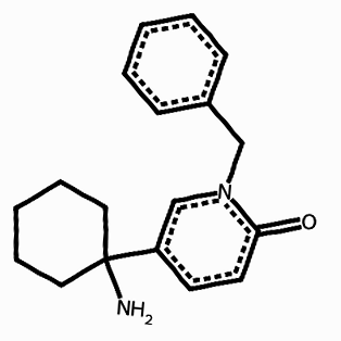 NC1(c2ccc(=O)n(Cc3ccccc3)c2)CCCCC1